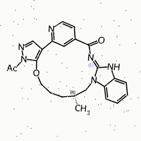 CC(=O)n1ncc2c1OCCC[C@@H](C)CN1/C(=N/C(=O)c3ccnc-2c3)Nc2ccccc21